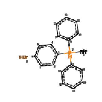 Br.CCC[PH](c1ccccc1)(c1ccccc1)c1ccccc1